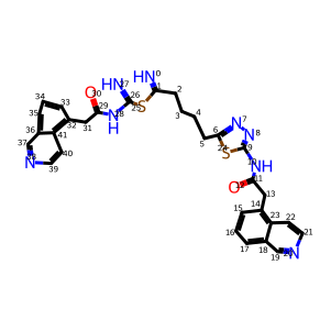 N=C(CCCCc1nnc(NC(=O)Cc2cccc3cnccc23)s1)SC(=N)NC(=O)Cc1cccc2cnccc12